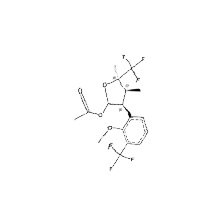 COc1c([C@H]2C(OC(C)=O)O[C@@](C)(C(F)(F)F)[C@H]2C)cccc1C(F)(F)F